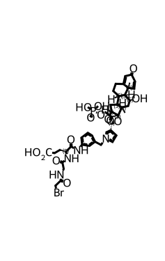 C[C@]12C=CC(=O)C=C1CC[C@@H]1[C@@H]2[C@@H](O)C[C@@]2(C)[C@H]1C[C@H]1O[C@@H](c3ccn(Cc4cccc(NC(=O)[C@H](CCC(=O)O)NC(=O)CNC(=O)CBr)c4)c3)O[C@]12C(=O)COP(=O)(O)O